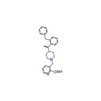 C=C(c1ccccc1Cc1ccccc1)C1CCN(Cc2cccnc2OC)CC1